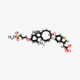 C=C1CCC[C@@H](Oc2ccc3c(c2)SC[C@H]3CC(=O)O)C/C=C\C=C/1c1c(C)cc(OCCCS(C)(=O)=O)cc1C